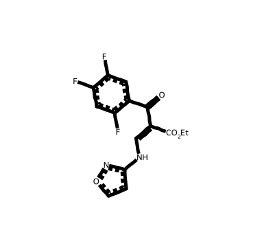 CCOC(=O)C(=CNc1ccon1)C(=O)c1cc(F)c(F)cc1F